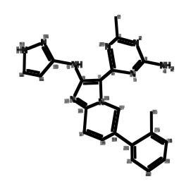 Cc1nc(N)nc(-c2c(Nc3cc[nH]n3)nc3ccc(-c4ccccc4C)cn23)n1